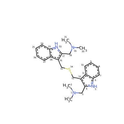 CN(C)Cc1[nH]c2ccccc2c1CSCc1c(CN(C)C)[nH]c2ccccc12